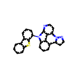 c1ccc2c(c1)sc1c(-n3c4cccc5c4c4c3nccc4n3nccc53)cccc12